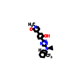 Cn1ccc(-c2ccc(-c3ncc(N(C4CC4)[C@H]4C[C@@H]5CCC[C@@](C(F)(F)F)(C5)C4)nn3)c(O)c2)cc1=O